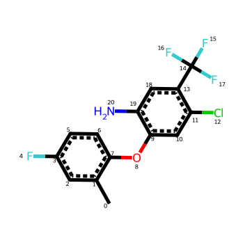 Cc1cc(F)ccc1Oc1cc(Cl)c(C(F)(F)F)cc1N